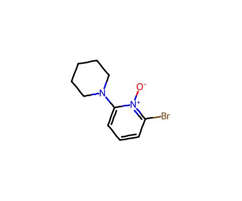 [O-][n+]1c(Br)cccc1N1CCCCC1